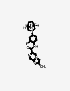 Cc1cn2cc(C(=O)Nc3ccc(N4C[C@H]5CC[C@@H](C4)N5)cc3F)ncc2n1